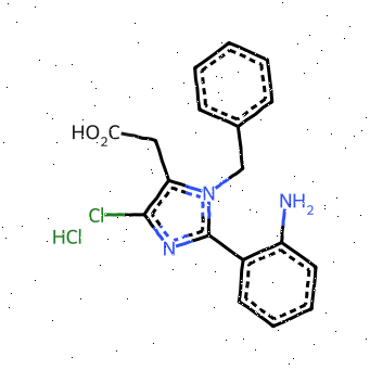 Cl.Nc1ccccc1-c1nc(Cl)c(CC(=O)O)n1Cc1ccccc1